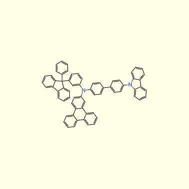 c1ccc(C2(c3cccc(N(c4ccc(-c5ccc(-n6c7ccccc7c7ccccc76)cc5)cc4)c4ccc5c6ccccc6c6ccccc6c5c4)c3)c3ccccc3-c3ccccc32)cc1